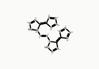 N1=NC(=C2N=NNN2N=NN2NN=NC2=C2N=NN=N2)N=N1